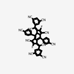 N#CC1=C(F)/C(=C(/C#N)c2cc(C#N)cc(C#N)c2)C2=C(c3ccc(C#N)cc3)C3C(C#N)=C(F)/C(=C(/C#N)c4cc(C#N)cc(C#N)c4)C3C(c3ccc(C#N)cc3)=C12